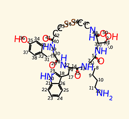 C[C@@H](O)[C@@H]1NC(=O)[C@H](CCCCN)NC(=O)[C@@H](Cc2c[nH]c3ccccc23)NC(=O)[C@H](Cc2ccc(O)cc2)NC(=O)CCSSCCNC1=O